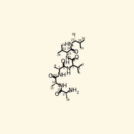 CC(C)C(NC(=O)[C@H](C)NC(=O)[C@H](C)NC(=O)[C@H](C)N)C(=O)N[C@H](C(=O)N[C@H](C)C(C)C)C(C)C